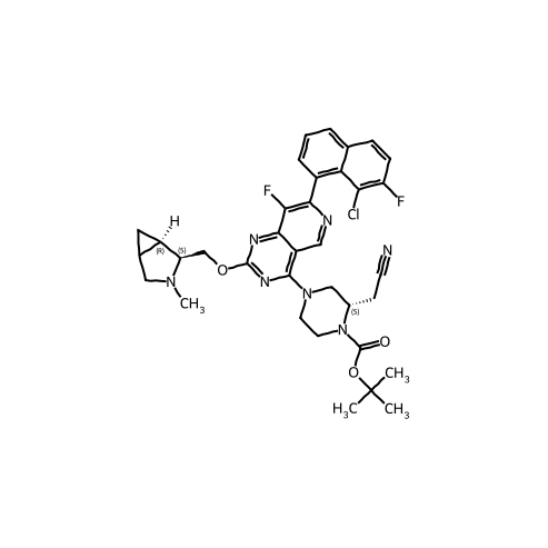 CN1CC2C[C@H]2[C@H]1COc1nc(N2CCN(C(=O)OC(C)(C)C)[C@@H](CC#N)C2)c2cnc(-c3cccc4ccc(F)c(Cl)c34)c(F)c2n1